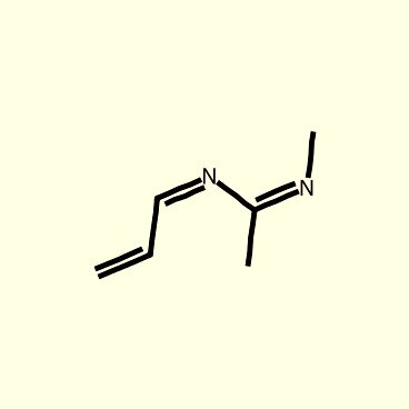 C=C/C=N\C(C)=N/C